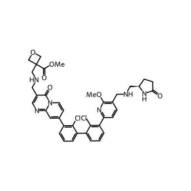 COC(=O)C1(CNCc2cnc3cc(-c4cccc(-c5cccc(-c6ccc(CNC[C@H]7CCC(=O)N7)c(OC)n6)c5Cl)c4Cl)ccn3c2=O)COC1